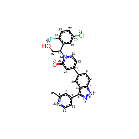 Cc1cc(-c2n[nH]c3ccc(-c4ccn(C(CO)c5cc(Cl)ccc5F)c(=O)c4)cc23)ccn1